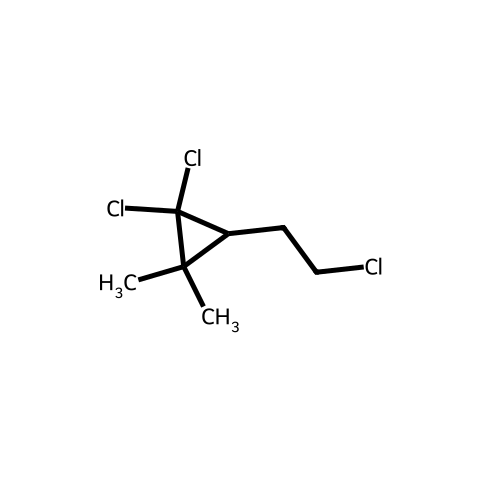 CC1(C)C(CCCl)C1(Cl)Cl